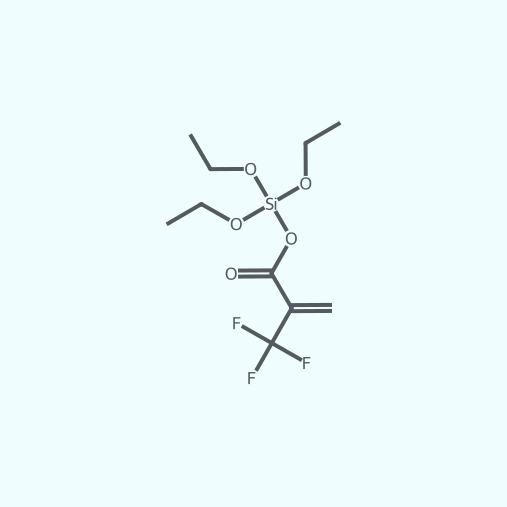 C=C(C(=O)O[Si](OCC)(OCC)OCC)C(F)(F)F